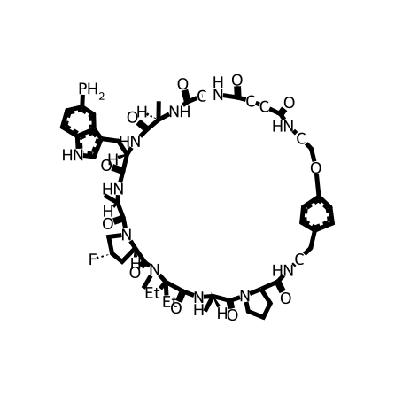 CCC1(CC)C(=O)N[C@@H](C)C(=O)N2CCCC2C(=O)NCCc2ccc(cc2)OCCNC(=O)CCC(=O)NCC(=O)N[C@H](C)C(=O)N[C@@H](Cc2c[nH]c3ccc(P)cc23)C(=O)N[C@@H](C)C(=O)N2C[C@@H](F)C[C@H]2C(=O)N1C